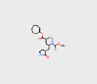 C/C(=C\[C@H](C[C@@H]1CCNC1=O)NC(=O)OC(C)(C)C)C(=O)OC1CCCCCC1